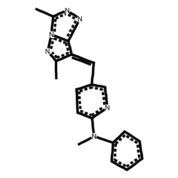 Cc1nn2c(C)nnc2c1=Cc1ccc(N(C)c2ccccc2)nc1